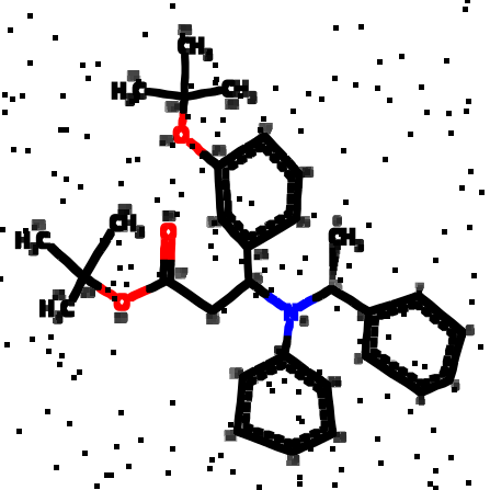 C[C@H](c1ccccc1)N(c1ccccc1)C(CC(=O)OC(C)(C)C)c1cccc(OC(C)(C)C)c1